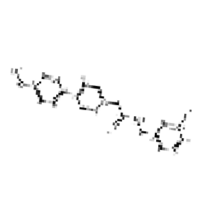 CCOc1ccc(-c2ccc(CC(=O)NCc3cccc(F)c3)cn2)cc1